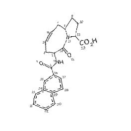 O=C(NC1CC=CCC2CCC(C(=O)O)N2C1=O)c1ccc2ccccc2c1